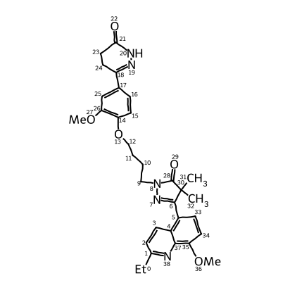 CCc1ccc2c(C3=NN(CCCCOc4ccc(C5=NNC(=O)CC5)cc4OC)C(=O)C3(C)C)ccc(OC)c2n1